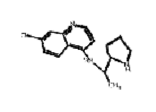 CC(Nc1ccnc2cc(Cl)ccc12)C1CCCN1